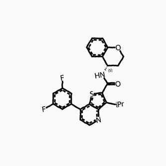 CC(C)c1c(C(=O)N[C@H]2CCOc3ccccc32)sc2c(-c3cc(F)cc(F)c3)ccnc12